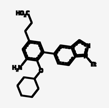 CCn1ncc2cc(-c3cc(CCC(=O)O)cc(N)c3OC3CCCCC3)ccc21